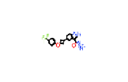 [N-]=[N+]=NC(=O)c1c[nH]c2ccc(C3CC(Oc4ccc(C(F)(F)F)cc4)C3)cc12